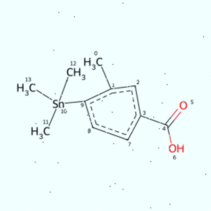 Cc1cc(C(=O)O)cc[c]1[Sn]([CH3])([CH3])[CH3]